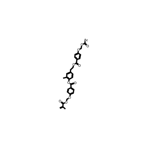 C=C(C)C(=O)OCOc1ccc(C(=O)Oc2ccc(CCOC(=O)c3ccc(OCOC(=O)C(C)=O)cc3)cc2C)cc1